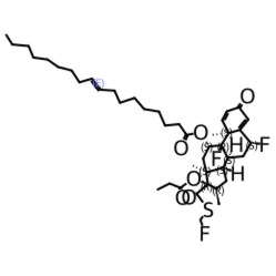 CCCCCCCC/C=C/CCCCCCCC(=O)O[C@H]1C[C@@]2(C)[C@@H](C[C@@H](C)[C@]2(OC(=O)CC)C(=O)SCF)[C@@H]2C[C@H](F)C3=CC(=O)C=C[C@]3(C)[C@@]12F